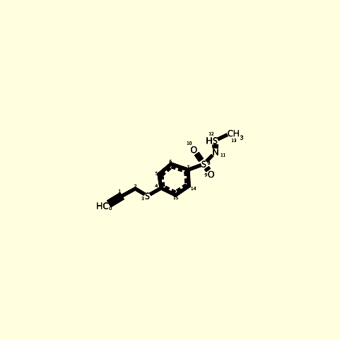 C#CCSc1ccc(S(=O)(=O)N=[SH]C)cc1